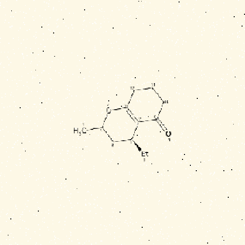 CC[C@H]1CC(C)OC2=C1C(=O)CCC2